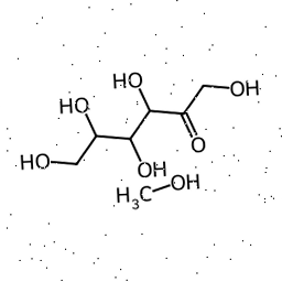 CO.O=C(CO)C(O)C(O)C(O)CO